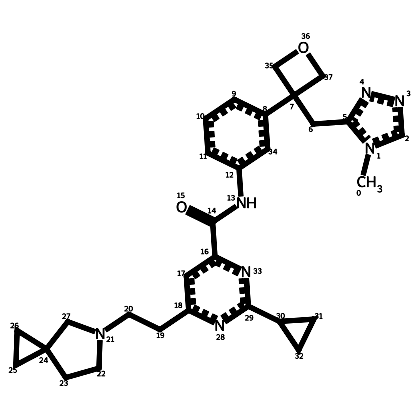 Cn1cnnc1CC1(c2cccc(NC(=O)c3cc(CCN4CCC5(CC5)C4)nc(C4CC4)n3)c2)COC1